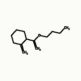 C=C1CCCCC1C(=C)OCCCC